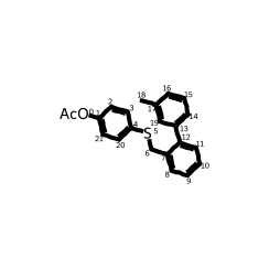 CC(=O)Oc1ccc(SCc2ccccc2-c2cccc(C)c2)cc1